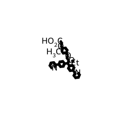 CCOC(COc1ccc(OCC(=O)O)c(C)c1)=C(c1ccc(-c2ccccn2)cc1)c1ccc(-c2ccccn2)cc1